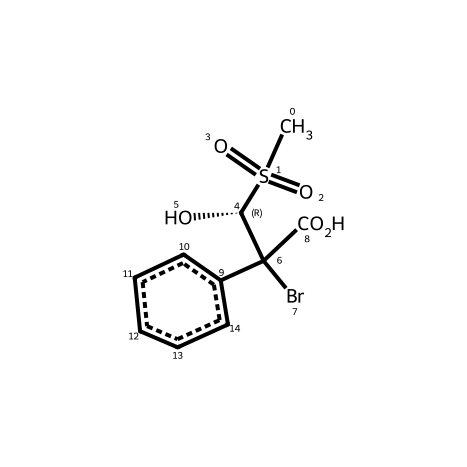 CS(=O)(=O)[C@@H](O)C(Br)(C(=O)O)c1ccccc1